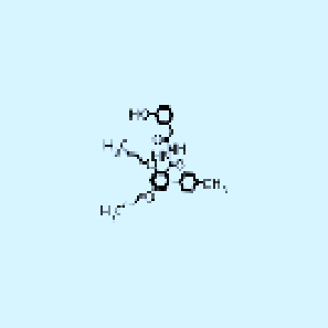 CCCCOc1cc(OCCCC)c(C(=O)NNC(=O)Cc2cccc(O)c2)c(-c2ccc(C)cc2)c1